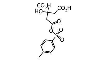 Cc1ccc(S(=O)(=O)OC(=O)CC(O)(CC(=O)O)C(=O)O)cc1